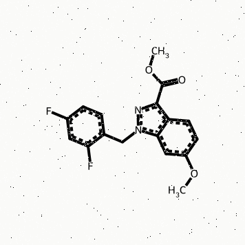 COC(=O)c1nn(Cc2ccc(F)cc2F)c2cc(OC)ccc12